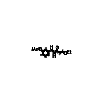 CCOC=CC(=O)NNc1cccc(OC)c1